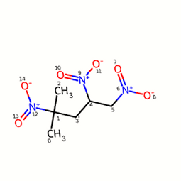 CC(C)([CH]C(C[N+](=O)[O-])[N+](=O)[O-])[N+](=O)[O-]